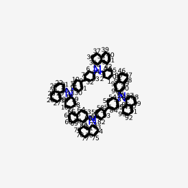 c1ccc(N(c2ccc(-c3ccc(N(c4ccccc4)c4cccc5ccccc45)cc3)cc2)c2cccc3ccccc23)cc1.c1ccc2cc(N(c3ccc(-c4ccc(N(c5ccc6ccccc6c5)c5cccc6ccccc56)cc4)cc3)c3cccc4ccccc34)ccc2c1